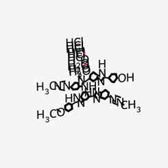 CCOc1ccc(-c2nc3cc(-c4nc5cc(N6CCN(C)CC6)ccc5[nH]4)ccc3[nH]2)cc1.CN1CCN(c2ccc3[nH]c(-c4ccc5[nH]c(-c6ccc(O)cc6)nc5c4)nc3c2)CC1.Cl.Cl.Cl.Cl.Cl.Cl.O.O.O.O.O